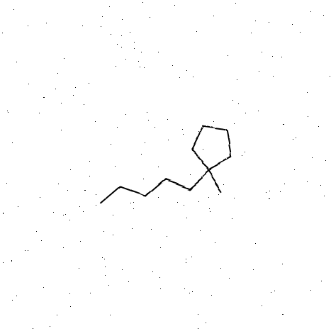 CCCCCC1(C)CCCC1